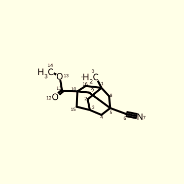 [CH2]C12CC3CC(C#N)(C1)CC(C(=O)OC)(C3)C2